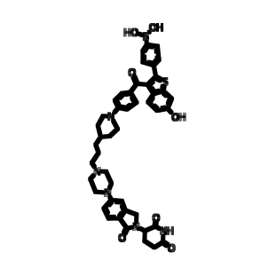 O=C1CCC(N2Cc3cc(N4CCN(CCCC5CCN(c6ccc(C(=O)c7c(-c8ccc(B(O)O)cc8)sc8cc(O)ccc78)cc6)CC5)CC4)ccc3C2=O)C(=O)N1